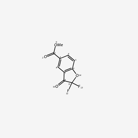 COC(=O)c1ccc2c(c1)C(=O)C(F)(F)O2